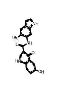 CC(C)(C)c1cc2cc[nH]c2cc1NC(=O)c1c[nH]c2ccc(O)cc2c1=O